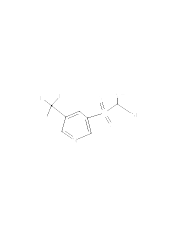 CC(N)S(=O)(=O)c1cncc(C(F)(F)F)c1